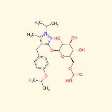 Cc1c(Cc2ccc(OC(C)C)cc2)c(O[C@@H]2O[C@H](COC(=O)O)[C@@H](O)[C@H](O)[C@H]2O)nn1C(C)C